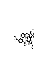 CCCc1cc(C(=O)NC(Cc2ccccc2)C2=COCO2)c(NC(=O)c2ccc(C(=O)OC)cc2)s1